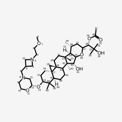 COCCN1CC(CN2CCO[C@@H](O[C@H]3CC[C@]45C[C@]46CC[C@]4(C)[C@@H]7C(OC([C@H](OC(C)=O)C(C)(C)O)C[C@H]7C)[C@H](O)[C@@]4(C)C6CC[C@H]5C3(C)C)C2)C1